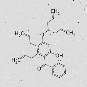 C=CCc1c(OC(CC=C)CC=C)cc(O)c(C(=O)c2ccccc2)c1CC=C